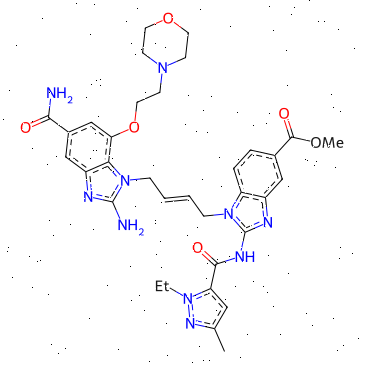 CCn1nc(C)cc1C(=O)Nc1nc2cc(C(=O)OC)ccc2n1C/C=C/Cn1c(N)nc2cc(C(N)=O)cc(OCCN3CCOCC3)c21